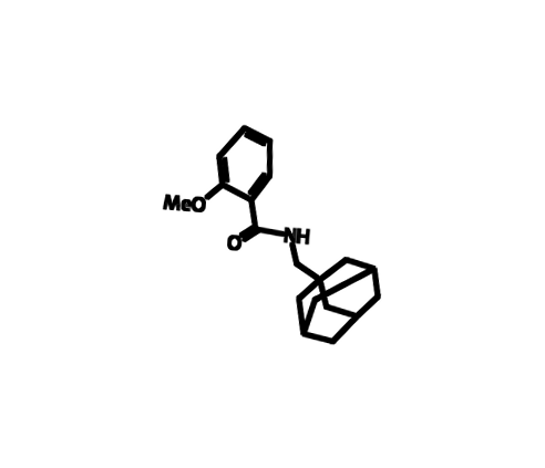 COc1ccccc1C(=O)NCC12CC3CC(CC(C3)C1)C2